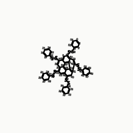 c1ccc(SSc2cc3c(SSc4ccccc4)cc4c(SSc5ccccc5)cc5c(SSc6ccccc6)cc6c(SSc7ccccc7)cc2c2c6c5c4c32)cc1